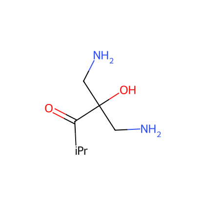 CC(C)C(=O)C(O)(CN)CN